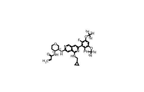 [2H]C([2H])([2H])Oc1cc(OC([2H])([2H])[2H])c(F)c(-c2cc3cnc(N[C@@H]4COCC[C@@H]4NC(=O)C=C)cc3c(NCC3CC3)n2)c1F